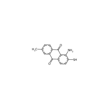 Cc1ccc2c(c1)C(=O)c1ccc(S)c(N)c1C2=O